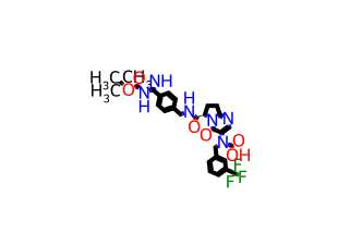 CC(C)(C)OC(=O)NC(=N)c1ccc(CNC(=O)[C@@H]2CCc3ncc(N(Cc4cccc(C(F)(F)F)c4)C(=O)O)c(=O)n32)cc1